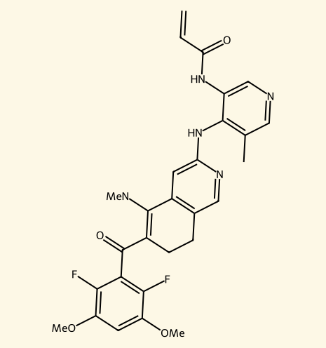 C=CC(=O)Nc1cncc(C)c1Nc1cc2c(cn1)CCC(C(=O)c1c(F)c(OC)cc(OC)c1F)=C2NC